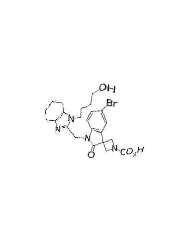 O=C(O)N1CC2(C1)C(=O)N(Cc1nc3c(n1CCCCO)CCCC3)c1ccc(Br)cc12